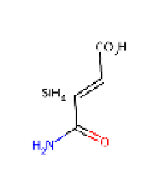 NC(=O)C=CC(=O)O.[SiH4]